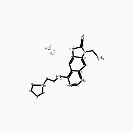 CCn1c(=O)[nH]c2cc3c(NCCN4CCCC4)ncnc3cc21.Cl.Cl